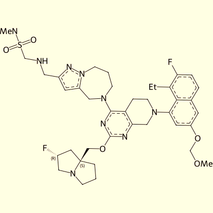 CCc1c(F)ccc2cc(OCOC)cc(N3CCc4c(nc(OC[C@@]56CCCN5C[C@H](F)C6)nc4N4CCCn5nc(CNCS(=O)(=O)NC)cc5C4)C3)c12